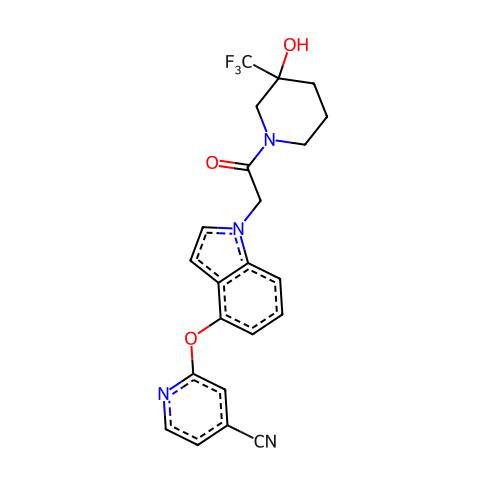 N#Cc1ccnc(Oc2cccc3c2ccn3CC(=O)N2CCCC(O)(C(F)(F)F)C2)c1